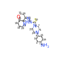 Nc1ccc(N2CCN(C(=S)N/N=C3/CCOc4cccnc43)CC2)cc1